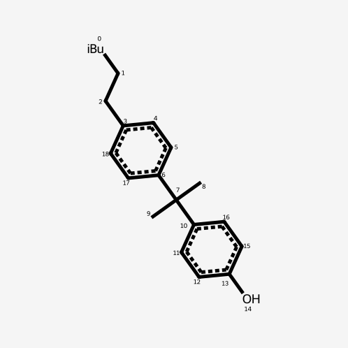 CCC(C)CCc1ccc(C(C)(C)c2ccc(O)cc2)cc1